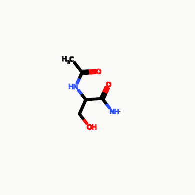 CC(=O)NC(CO)C([NH])=O